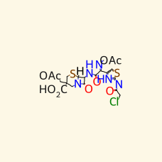 CC(=O)OCC1(C(=O)O)CS[C@@H]2C(NC(=O)C(=NOC(C)=O)c3csc(=NC(=O)CCl)[nH]3)C(=O)N2C1